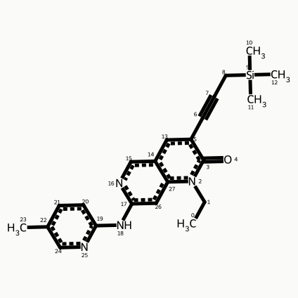 CCn1c(=O)c(C#CC[Si](C)(C)C)cc2cnc(Nc3ccc(C)cn3)cc21